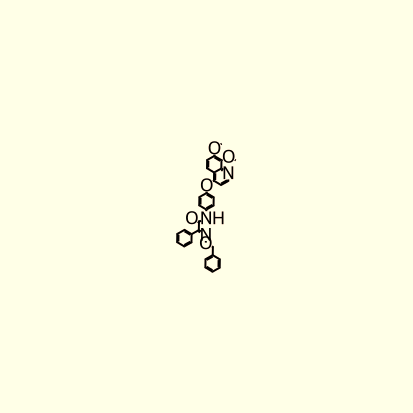 COc1ccc2c(Oc3ccc(NC(=O)C(=NOCc4ccccc4)c4ccccc4)cc3)ccnc2c1OC